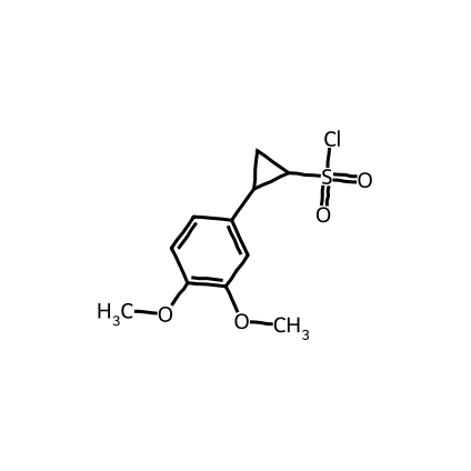 COc1ccc(C2CC2S(=O)(=O)Cl)cc1OC